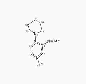 CC(=O)Nc1cc(C(C)C)ccc1N1CCCCC1